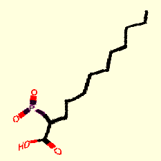 CCCCCCCCCCC(C(=O)O)P(=O)=O